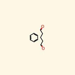 O=CCCCC=O.c1ccccc1